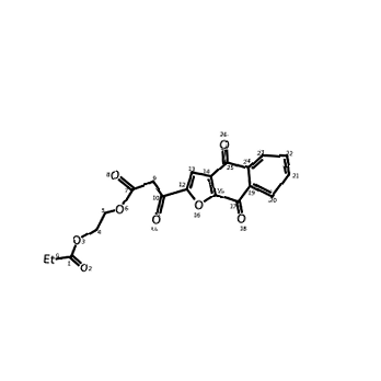 CCC(=O)OCCOC(=O)CC(=O)c1cc2c(o1)C(=O)c1ccccc1C2=O